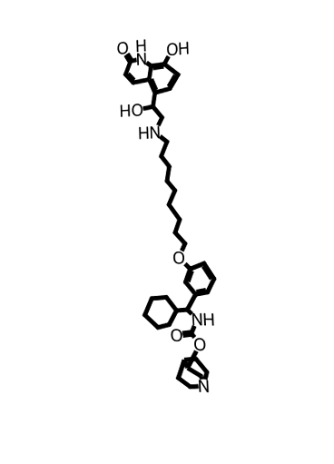 O=C(NC(c1cccc(OCCCCCCCCCNCC(O)c2ccc(O)c3[nH]c(=O)ccc23)c1)C1CCCCC1)OC1CN2CCC1CC2